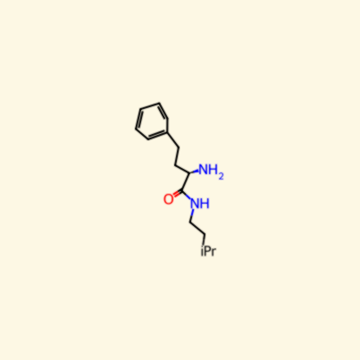 CC(C)CCNC(=O)[C@H](N)CCc1ccccc1